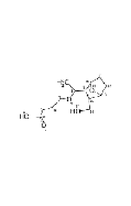 CC(OCCCC(=O)O)C1C2CCC(O2)C1CO